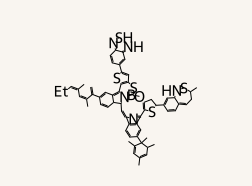 C=C(C1=CC2=C3c4sc(C5=CC(=N)/C(=N\S)C=C5)cc4SB4OC5=C(SC(C6=CC7NSC(C)CC=C7C=C6)C5)C5=N/C(=C\C(C2C=C1)N43)c1ccc(C2(C)C(C)=CC(C)=CC2C)cc15)/C(C)=C\C(C)=C/CC